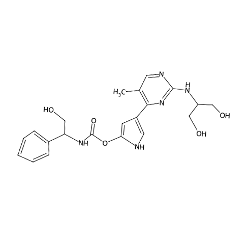 Cc1cnc(NC(CO)CO)nc1-c1c[nH]c(OC(=O)NC(CO)c2ccccc2)c1